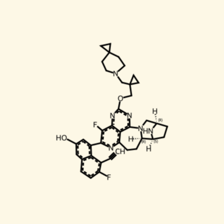 C#Cc1c(F)ccc2cc(O)cc(-c3nc4c5c(nc(OCC6(CN7CCC8(CC7)CC8)CC6)nc5c3F)N3C[C@H]5CC[C@H](N5)[C@H]3CC4)c12